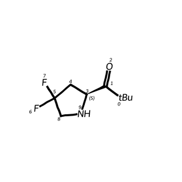 CC(C)(C)C(=O)[C@@H]1CC(F)(F)CN1